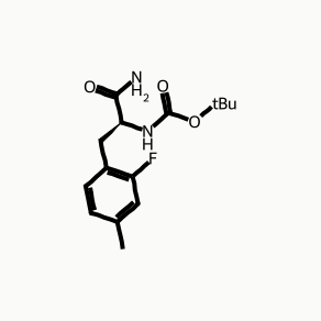 Cc1ccc(C[C@H](NC(=O)OC(C)(C)C)C(N)=O)c(F)c1